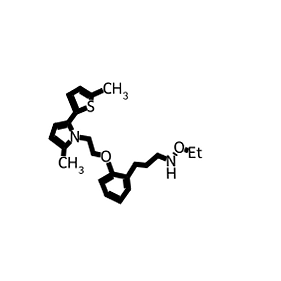 CCONCCCc1ccccc1OCCn1c(C)ccc1-c1ccc(C)s1